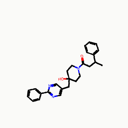 CC(CC(=O)N1CCC(O)(Cc2cnc(-c3ccccc3)nc2)CC1)c1ccccc1